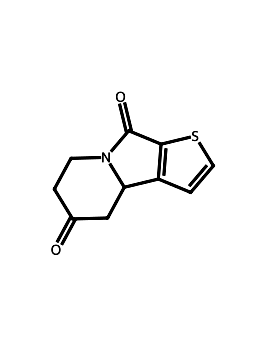 O=C1CCN2C(=O)c3sccc3C2C1